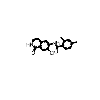 Cc1ccc(C(=O)Nc2cc3cc[nH]c(=O)c3cc2Cl)c(C)c1